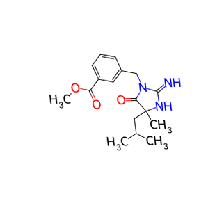 COC(=O)c1cccc(CN2C(=N)NC(C)(CC(C)C)C2=O)c1